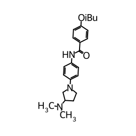 CC(C)COc1ccc(C(=O)Nc2ccc(N3CCC(N(C)C)C3)cc2)cc1